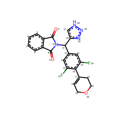 O=C1c2ccccc2C(=O)N1C(c1cc(F)c(C2=CCOCC2)c(F)c1)c1c[nH]nn1